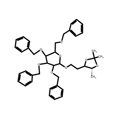 C[C@H]1OC(C)(C)OC1CCOC1OC(COCc2ccccc2)C(OCc2ccccc2)C(OCc2ccccc2)C1OCc1ccccc1